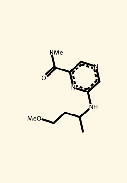 CNC(=O)c1cncc(NC(C)CCOC)n1